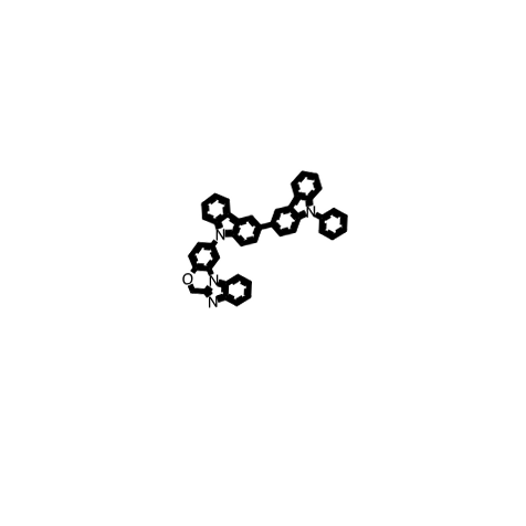 c1ccc(-n2c3ccccc3c3cc(-c4ccc5c(c4)c4ccccc4n5-c4ccc5c(c4)-n4c(nc6ccccc64)CO5)ccc32)cc1